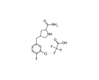 NC(=O)C1CC(Cc2ccc(F)c(Cl)c2)CN1.O=C(O)C(F)(F)F